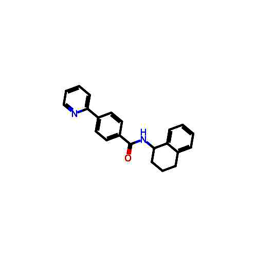 O=C(NC1CCCc2ccccc21)c1ccc(-c2ccccn2)cc1